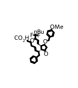 CCCCC(F)(F)C(=O)/C=C/[C@@H]1[C@@H](C(C=CCCCC(=O)O)Cc2ccccc2)C(=O)C[C@H]1OCc1ccc(OC)cc1